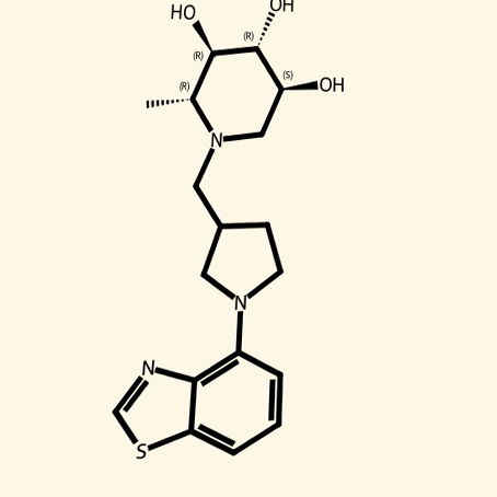 C[C@@H]1[C@@H](O)[C@H](O)[C@@H](O)CN1CC1CCN(c2cccc3scnc23)C1